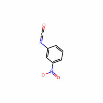 O=C=Nc1cccc([N+](=O)[O-])c1